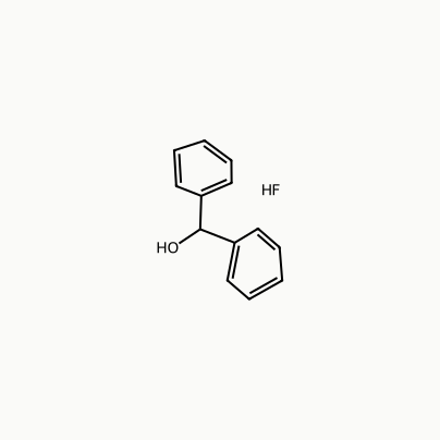 F.OC(c1ccccc1)c1ccccc1